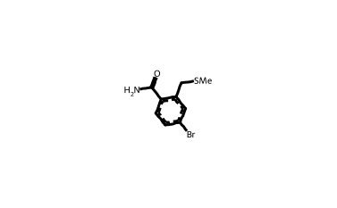 CSCc1cc(Br)ccc1C(N)=O